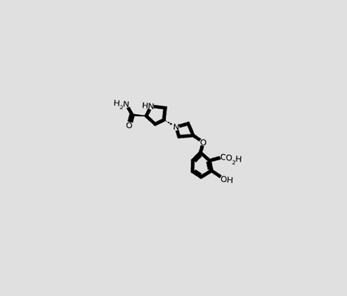 NC(=O)[C@@H]1C[C@@H](N2CC(Oc3cccc(O)c3C(=O)O)C2)CN1